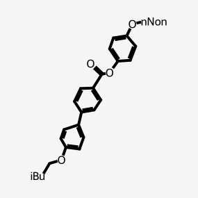 CCCCCCCCCOc1ccc(OC(=O)c2ccc(-c3ccc(OCC(C)CC)cc3)cc2)cc1